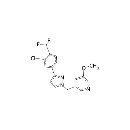 COc1cncc(Cn2ccc(-c3ccc(C(F)F)c(Cl)c3)n2)c1